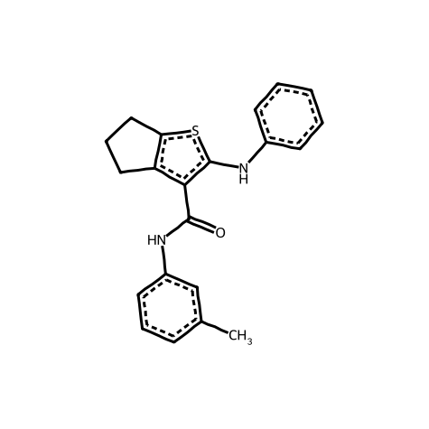 Cc1cccc(NC(=O)c2c(Nc3ccccc3)sc3c2CCC3)c1